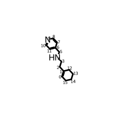 C1=C(CCNCc2ccncc2)CCCC1